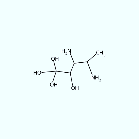 CC(N)C(N)C(O)C(O)(O)O